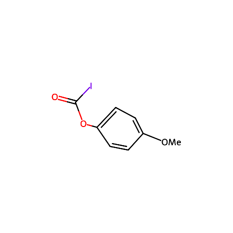 COc1ccc(OC(=O)I)cc1